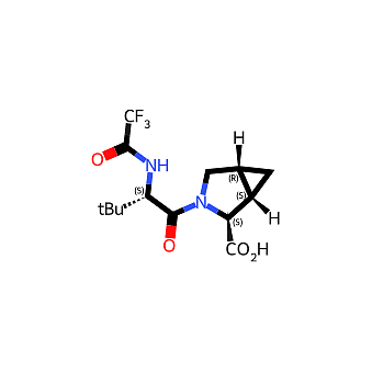 CC(C)(C)[C@H](NC(=O)C(F)(F)F)C(=O)N1C[C@@H]2C[C@@H]2[C@H]1C(=O)O